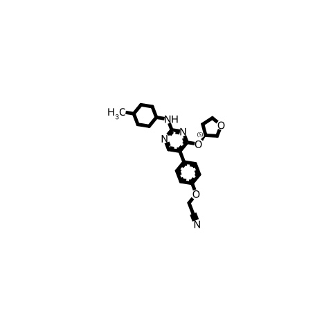 CC1CCC(Nc2ncc(-c3ccc(OCC#N)cc3)c(O[C@H]3CCOC3)n2)CC1